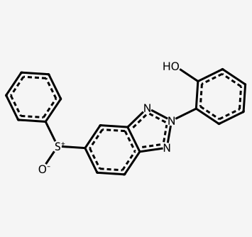 [O-][S+](c1ccccc1)c1ccc2nn(-c3ccccc3O)nc2c1